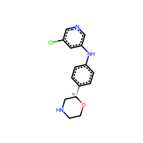 Clc1cncc(Nc2ccc([C@H]3CNCCO3)cc2)c1